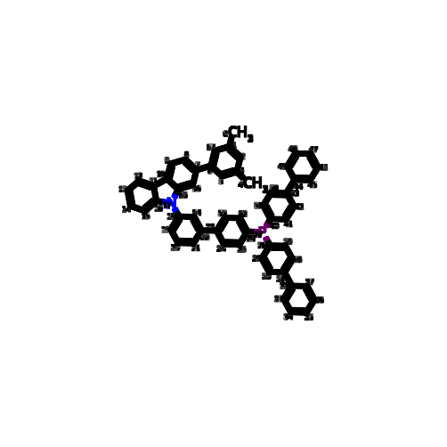 Cc1cc(C)cc(-c2ccc3c4ccccc4n(-c4cccc(-c5ccc(P(c6ccc(-c7ccccc7)cc6)c6ccc(-c7ccccc7)cc6)cc5)c4)c3c2)c1